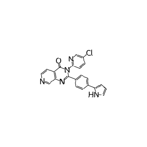 O=c1c2ccncc2nc(-c2ccc(-c3ccc[nH]3)cc2)n1-c1ccc(Cl)cn1